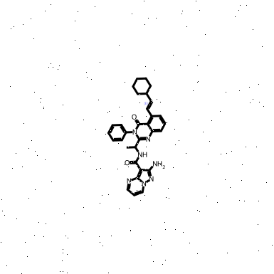 CC(NC(=O)c1c(N)nn2cccnc12)c1nc2cccc(/C=C/C3CCCCC3)c2c(=O)n1-c1ccccc1